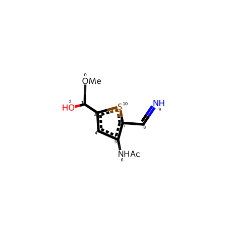 COC(O)c1cc(NC(C)=O)c(C=N)s1